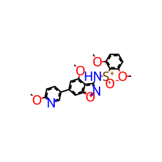 COc1ccc(-c2cc(OC)c3c(N[S+]([O-])c4c(OC)cccc4OC)noc3c2)cn1